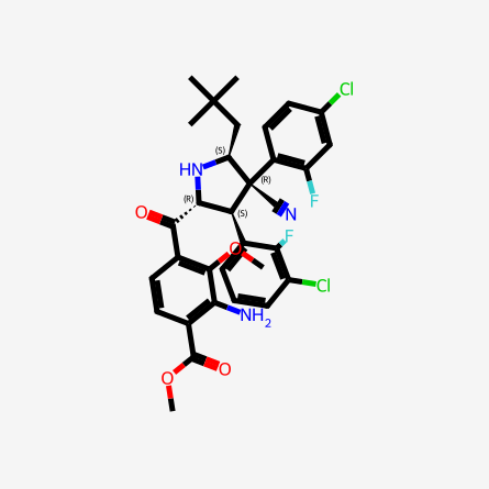 COC(=O)c1ccc(C(=O)[C@@H]2N[C@@H](CC(C)(C)C)[C@](C#N)(c3ccc(Cl)cc3F)[C@H]2c2cccc(Cl)c2F)c(OC)c1N